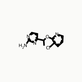 CC(Oc1ncccc1Cl)c1ccnc(N)n1